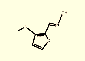 CSc1ccoc1/C=N/O